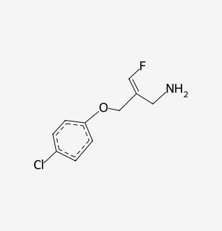 NCC(=CF)COc1ccc(Cl)cc1